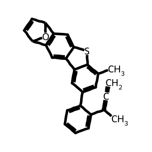 C=C=C(C)c1ccccc1-c1cc(C)c2sc3cc4c(cc3c2c1)C1C=CC4O1